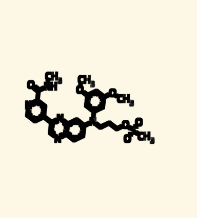 CNC(=O)c1cc(-c2cnc3ccc(N(CCCOS(C)(=O)=O)c4cc(OC)cc(OC)c4)cc3n2)ccn1